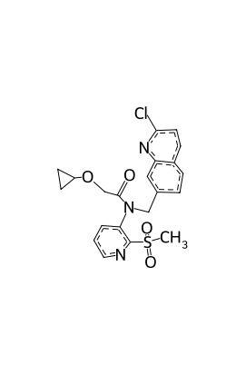 CS(=O)(=O)c1ncccc1N(Cc1ccc2ccc(Cl)nc2c1)C(=O)COC1CC1